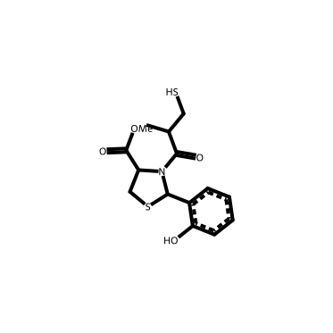 COC(=O)C1CSC(c2ccccc2O)N1C(=O)C(C)CS